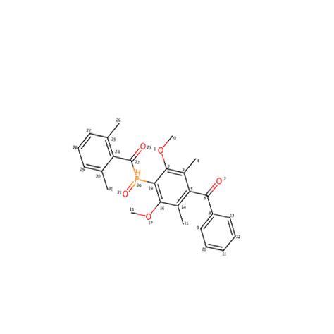 COc1c(C)c(C(=O)c2ccccc2)c(C)c(OC)c1[PH](=O)C(=O)c1c(C)cccc1C